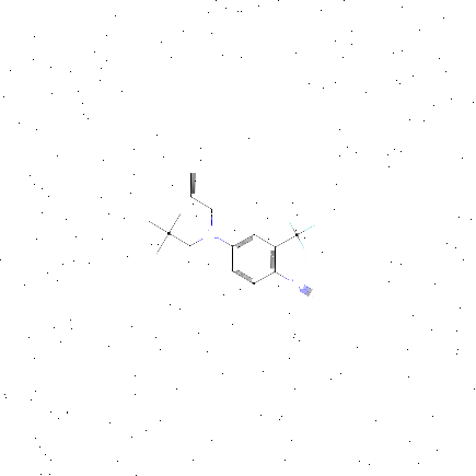 [C-]#[N+]c1ccc(N(CC=C)CC(C)(C)C)cc1C(F)(F)F